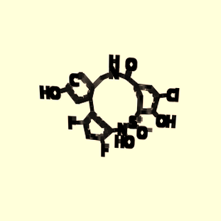 O=C1NCc2ccc(O)cc2-c2cc(c(F)cc2F)N(O)[S+]([O-])c2cc1cc(Cl)c2O